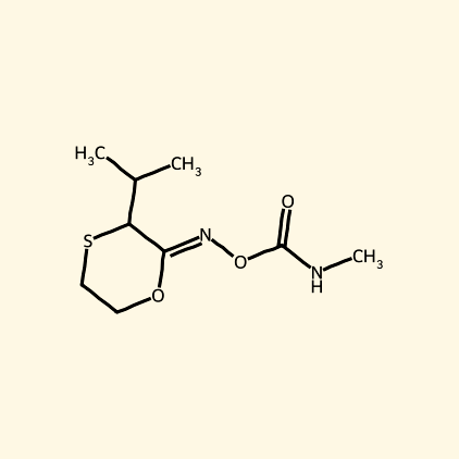 CNC(=O)ON=C1OCCSC1C(C)C